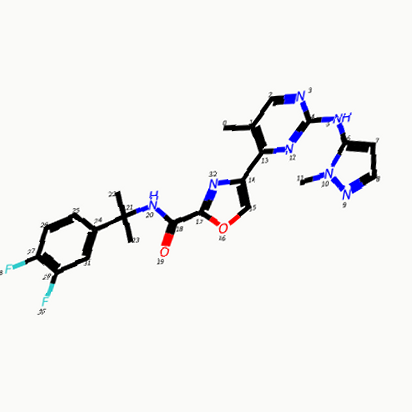 Cc1cnc(Nc2ccnn2C)nc1-c1coc(C(=O)NC(C)(C)c2ccc(F)c(F)c2)n1